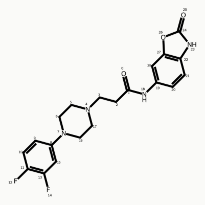 O=C(CCN1CCN(c2ccc(F)c(F)c2)CC1)Nc1ccc2[nH]c(=O)oc2c1